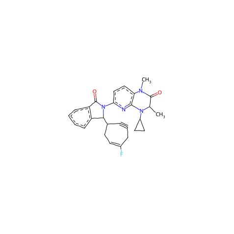 CC1C(=O)N(C)c2ccc(N3C(=O)c4ccccc4C3C3C#CCC(F)=CC3)nc2N1C1CC1